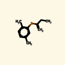 C=C(CC)Sc1cc(C)ccc1C